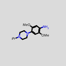 COc1cc(N2CCN(C(C)C)CC2)c(OC)cc1N